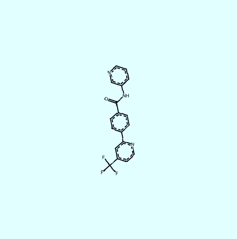 O=C(Nc1cccnc1)c1ccc(-c2cc(C(F)(F)F)ccn2)cc1